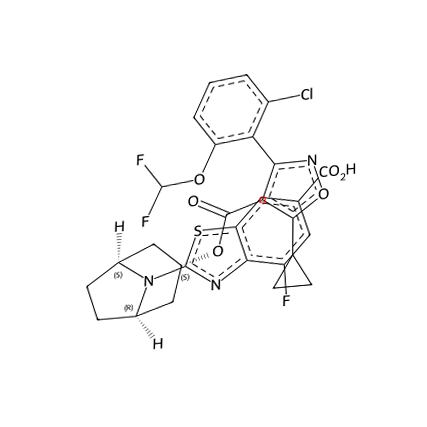 O=C(O)c1cc(F)c2nc(N3[C@@H]4CC[C@H]3C[C@H](OC(=O)c3c(-c5c(Cl)cccc5OC(F)F)noc3C3CC3)C4)sc2c1